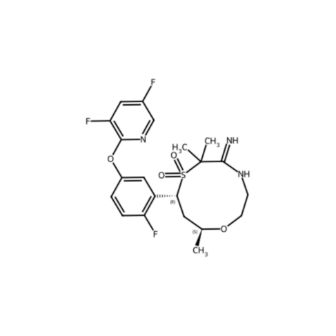 C[C@H]1C[C@H](c2cc(Oc3ncc(F)cc3F)ccc2F)S(=O)(=O)C(C)(C)C(=N)NCCO1